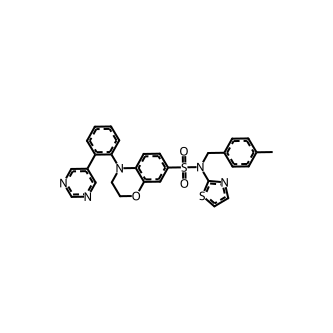 Cc1ccc(CN(c2nccs2)S(=O)(=O)c2ccc3c(c2)OCCN3c2ccccc2-c2cncnc2)cc1